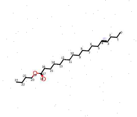 CCC/C=C/CCCCCCCCCCCCC(=O)OCCCC